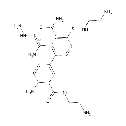 NCCNSc1ccc(-c2ccc(N)c(C(=O)NCCN)c2)c(/C(N)=N/NN)c1[S+](N)[O-]